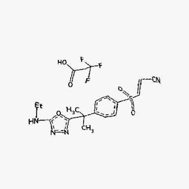 CCNc1nnc(C(C)(C)c2ccc(S(=O)(=O)/C=C/C#N)cc2)o1.O=C(O)C(F)(F)F